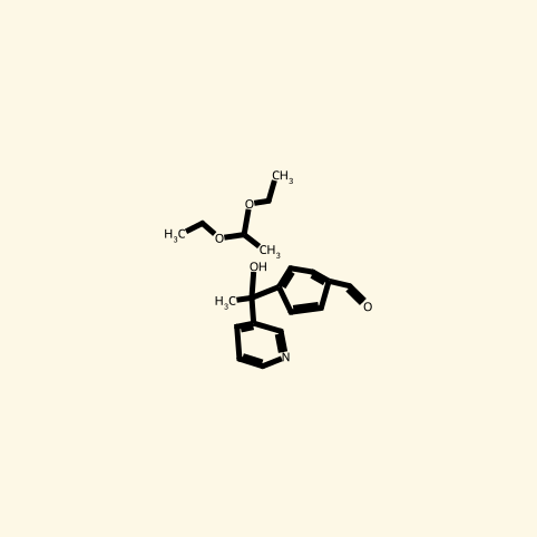 CC(O)(c1ccc(C=O)cc1)c1cccnc1.CCOC(C)OCC